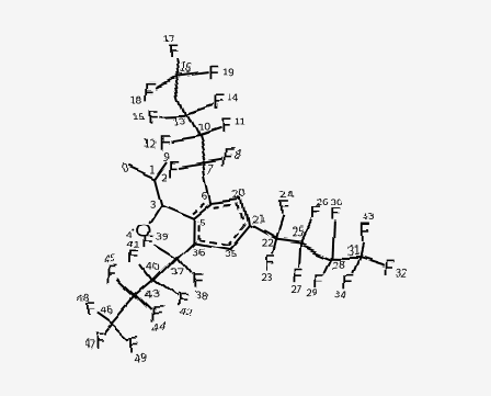 CC(C)C([O])c1c(C(F)(F)C(F)(F)C(F)(F)C(F)(F)F)cc(C(F)(F)C(F)(F)C(F)(F)C(F)(F)F)cc1C(F)(F)C(F)(F)C(F)(F)C(F)(F)F